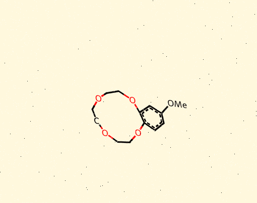 COc1ccc2c(c1)OCCOCCOCCO2